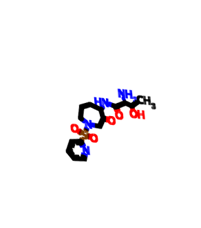 CC(O)[C@H](N)C(=O)NC1CCCN(S(=O)(=O)c2ccccn2)CC1=O